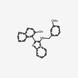 COc1cccc(CNc2c(-c3c(O)ccc4ccccc34)nc3ccccn23)c1